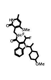 COC1CCC(C(C)n2c(C(F)F)c(C(=O)NCc3c(SC)cc(C)[nH]c3=O)c3ccccc32)CC1